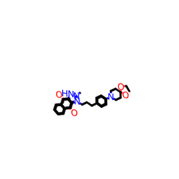 Cn1[nH]c2c(=O)c3ccccc3c(=O)c=2n1CCCc1ccc(N2CCC3(CC2)OCCO3)cc1